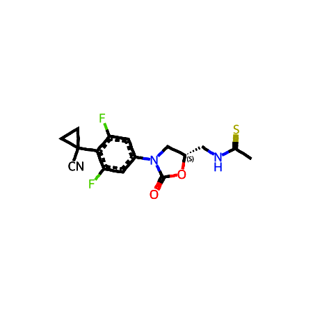 CC(=S)NC[C@H]1CN(c2cc(F)c(C3(C#N)CC3)c(F)c2)C(=O)O1